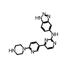 c1cc(-c2ccc(N3CCNCC3)nc2)nc(Nc2ccc3[nH]nnc3c2)n1